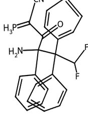 N#CC(=[PH3])C(=O)C(N)(c1ccccc1)C(c1ccccc1)(c1ccccc1)C(F)F